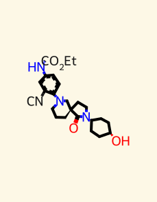 [C-]#[N+]c1cc(NC(=O)OCC)ccc1N1CCC[C@]2(CCN([C@H]3CC[C@H](O)CC3)C2=O)C1